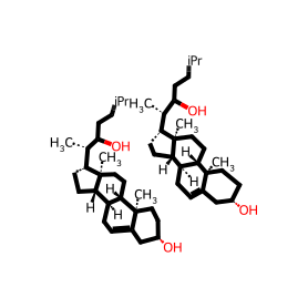 CC(C)CCC(O)[C@@H](C)[C@H]1CC[C@H]2[C@@H]3CC=C4C[C@@H](O)CC[C@]4(C)[C@H]3CC[C@]12C.CC(C)CCC(O)[C@@H](C)[C@H]1CC[C@H]2[C@@H]3CC=C4C[C@@H](O)CC[C@]4(C)[C@H]3CC[C@]12C